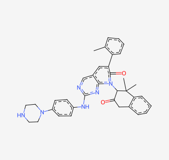 Cc1ccccc1-c1cc2cnc(Nc3ccc(N4CCNCC4)cc3)nc2n(C2C(=O)Cc3ccccc3C2(C)C)c1=O